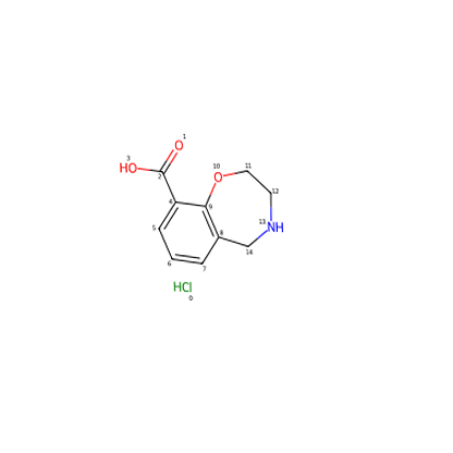 Cl.O=C(O)c1cccc2c1OCCNC2